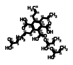 C=CC(=O)O.C=CC(=O)O.C=CC(=O)O.C=CCc1c(CC=C)c(C(=O)O)c(C(=O)O)c(CC=C)c1C(=O)O